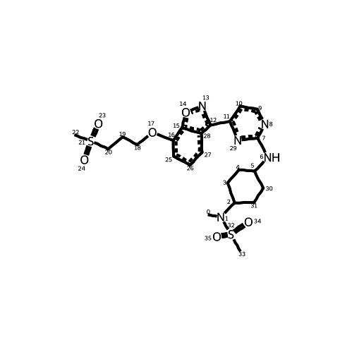 CN(C1CCC(Nc2nccc(-c3noc4c(OCCCS(C)(=O)=O)cccc34)n2)CC1)S(C)(=O)=O